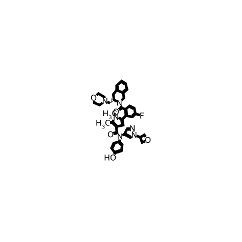 Cc1c(C(=O)N(c2ccc(O)cc2)c2cnn(C3COC3)c2)cc(-c2cc(F)ccc2C(=O)N2Cc3ccccc3C[C@H]2CN2CCOCC2)n1C